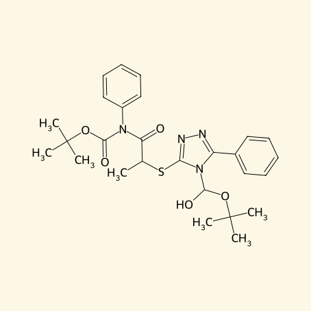 CC(Sc1nnc(-c2ccccc2)n1C(O)OC(C)(C)C)C(=O)N(C(=O)OC(C)(C)C)c1ccccc1